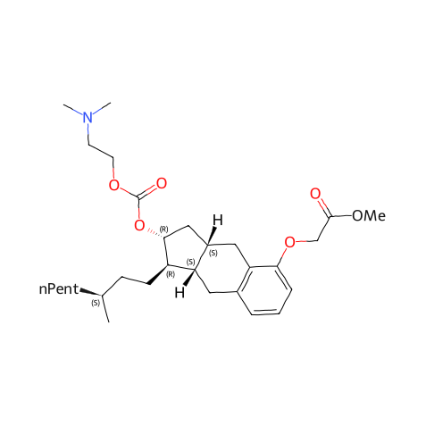 CCCCC[C@H](C)CC[C@@H]1[C@H]2Cc3cccc(OCC(=O)OC)c3C[C@H]2C[C@H]1OC(=O)OCCN(C)C